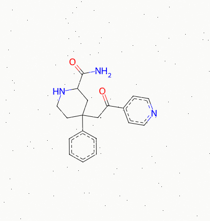 NC(=O)C1CC([CH]C(=O)c2ccncc2)(c2ccccc2)CCN1